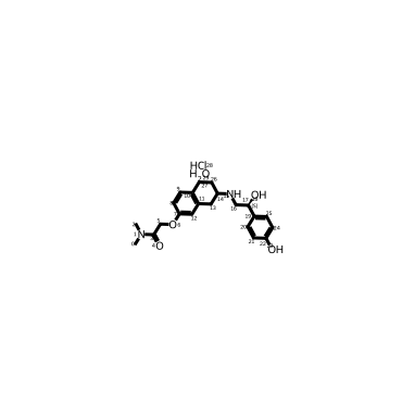 CN(C)C(=O)COc1ccc2c(c1)CC(NC[C@@H](O)c1ccc(O)cc1)CC2.Cl.O